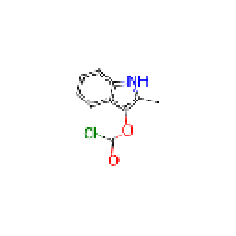 Cc1[nH]c2ccccc2c1OC(=O)Cl